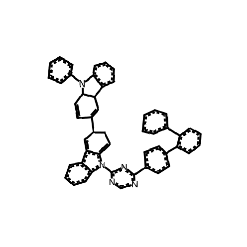 C1=CC2C(C=C1C1C=c3c(n(-c4ncnc(-c5ccc(-c6ccccc6-c6ccccc6)cc5)n4)c4ccccc34)=CC1)c1ccccc1N2c1ccccc1